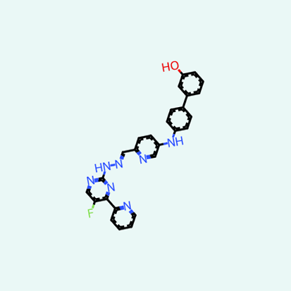 Oc1cccc(-c2ccc(Nc3ccc(/C=N/Nc4ncc(F)c(-c5ccccn5)n4)nc3)cc2)c1